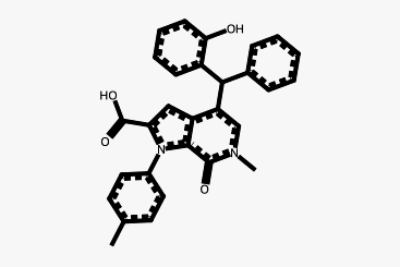 Cc1ccc(-n2c(C(=O)O)cc3c(C(c4ccccc4)c4ccccc4O)cn(C)c(=O)c32)cc1